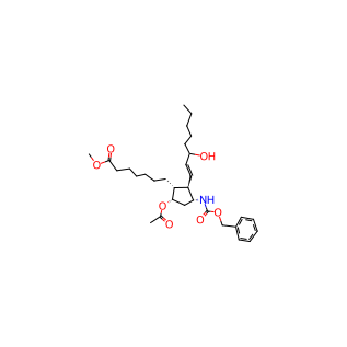 CCCCCC(O)/C=C/[C@@H]1[C@@H](CCCCCCC(=O)OC)[C@@H](OC(C)=O)C[C@H]1NC(=O)OCc1ccccc1